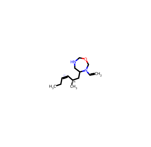 C=CN1COCNCC1C[C@@H](C)/C=C\CC